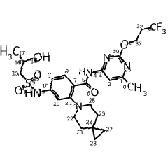 Cc1cc(NC(=O)c2ccc(NS(=O)(=O)C[C@@H](C)O)cc2N2CCC3(CC2)CC3)nc(OCCC(F)(F)F)n1